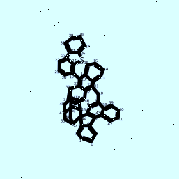 c1ccc2c(c1)-c1c(cc(Cc3c4ccccc4c(-c4cccc5c4sc4ccccc45)c4ccccc34)c3ccccc13)C21C2CC3CC(C2)CC1C3